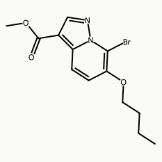 CCCCOc1ccc2c(C(=O)OC)cnn2c1Br